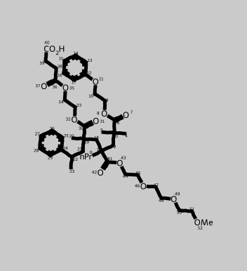 CCCC(CC(C)(C)C(=O)OCCOc1ccccc1)(CC(C)(CC(C)c1ccccc1)C(=O)OCCOC(=O)CCC(=O)O)C(=O)OCCOCCOCCOC